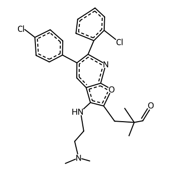 CN(C)CCNc1c(CC(C)(C)C=O)oc2nc(-c3ccccc3Cl)c(-c3ccc(Cl)cc3)cc12